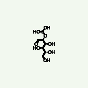 O=C[C@H](OB(O)O)[C@@H](O)[C@H](O)[C@H](O)CO